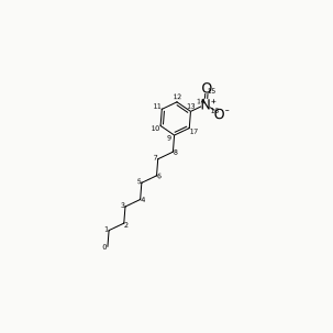 CCCCCCCCCc1cccc([N+](=O)[O-])c1